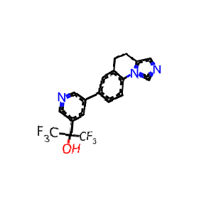 OC(c1cncc(-c2ccc3c(c2)CCc2cncn2-3)c1)(C(F)(F)F)C(F)(F)F